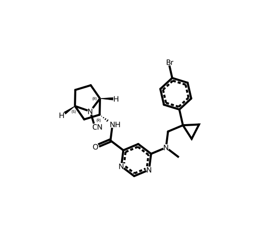 CN(CC1(c2ccc(Br)cc2)CC1)c1cc(C(=O)N[C@@H]2C[C@@H]3CC[C@H]2N3C#N)ncn1